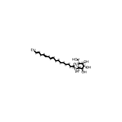 CCC=CCC=CCC=CCCCCCCCC(=O)O[C@@]1(C(C)C)O[C@H](CO)[C@@H](O)[C@H](O)[C@H]1O